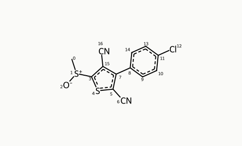 C[S+]([O-])c1sc(C#N)c(-c2ccc(Cl)cc2)c1C#N